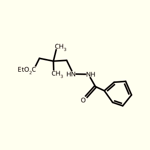 CCOC(=O)CC(C)(C)CNNC(=O)c1ccccc1